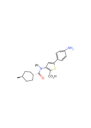 CC(C)N(c1cc(-c2ccc(N)cc2)sc1C(=O)O)C(=O)[C@H]1CC[C@H](C)CC1